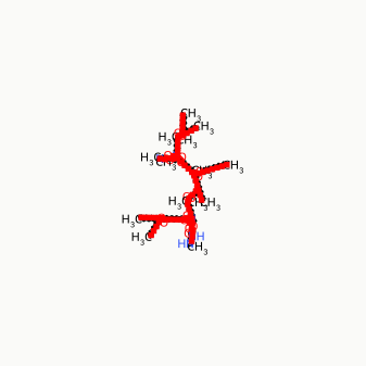 CCCCCCCCCCCOC(=O)C(C)(CCCCCCOC(=O)[C@@H]1C[C@H](OC(=O)CCN(C)C)CN1CCCCCCC(C)(C)C(=O)OC(CCCCCC)CCCCCCCC)CCCCCCC(CCCCC)CCCOC(=O)C(C)(C)CCCCCCN1C[C@@H](OC(=O)CC(=O)NCCNC)C[C@H]1C(=O)OCCCCCCCC(=O)OC(CCCCCCCC)CCCCCCCC